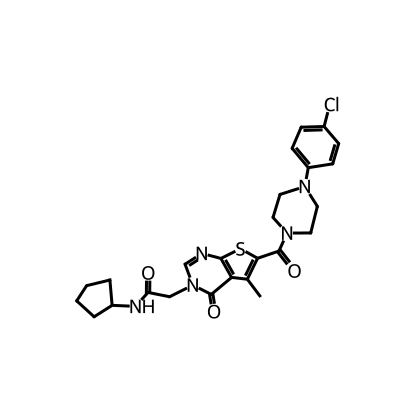 Cc1c(C(=O)N2CCN(c3ccc(Cl)cc3)CC2)sc2ncn(CC(=O)NC3CCCC3)c(=O)c12